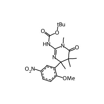 COc1ccc([N+](=O)[O-])cc1C1(C)N=C(NC(=O)OC(C)(C)C)N(C)C(=O)C1(C)C